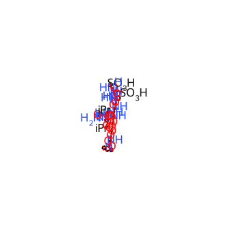 CC(C)C(=O)OCc1ccc(NC(=O)[C@H](CCCNC(N)=O)NC(=O)[C@@H](NC(=O)[C@@H](CCCCNC(=O)COC2CCCCC/C(NCCN(CC(=O)NCCS(=O)(=O)O)CC(=O)NCCS(=O)(=O)O)=C\2N=N)NC(=O)CCOCCOCCOCCOCCNC(=O)CCC(=O)N2Cc3ccccc3C#Cc3ccccc32)C(C)C)cc1